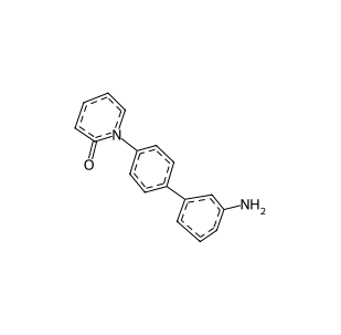 Nc1cccc(-c2ccc(-n3ccccc3=O)cc2)c1